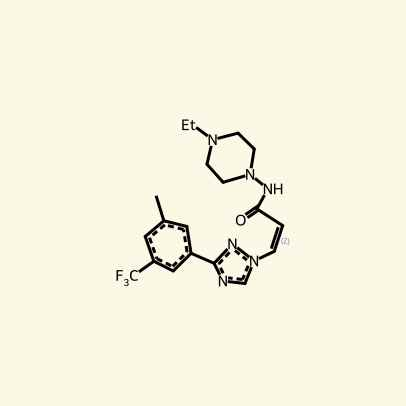 CCN1CCN(NC(=O)/C=C\n2cnc(-c3cc(C)cc(C(F)(F)F)c3)n2)CC1